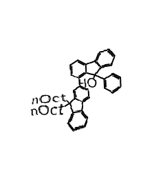 CCCCCCCCC1(CCCCCCCC)c2ccccc2-c2ccc(-c3cccc4c3C(O)(c3ccccc3)c3ccccc3-4)cc21